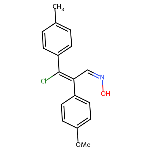 COc1ccc(C(/C=N\O)=C(\Cl)c2ccc(C)cc2)cc1